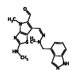 CNc1nc2c(s1)c(/C=N\N(C)Cc1cccc3[nH]ncc13)c(C=O)n2C